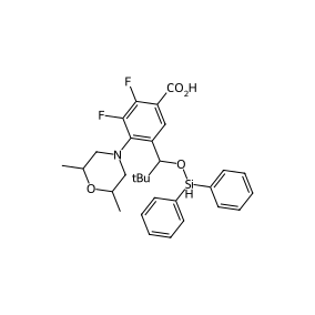 CC1CN(c2c(C(O[SiH](c3ccccc3)c3ccccc3)C(C)(C)C)cc(C(=O)O)c(F)c2F)CC(C)O1